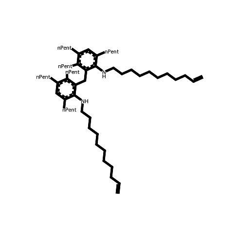 C=CCCCCCCCCCNc1c(CCCCC)cc(CCCCC)c(CCCCC)c1Cc1c(CCCCC)c(CCCCC)cc(CCCCC)c1NCCCCCCCCCC=C